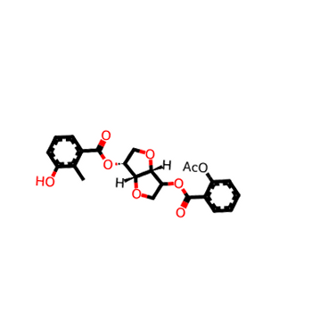 CC(=O)Oc1ccccc1C(=O)OC1CO[C@H]2[C@@H]1OC[C@H]2OC(=O)c1cccc(O)c1C